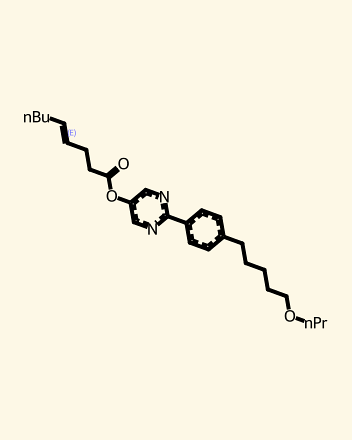 CCCC/C=C/CCC(=O)Oc1cnc(-c2ccc(CCCCCOCCC)cc2)nc1